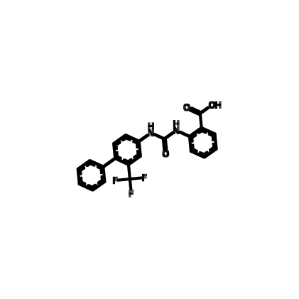 O=C(Nc1ccc(-c2ccccc2)c(C(F)(F)F)c1)Nc1ccccc1C(=O)O